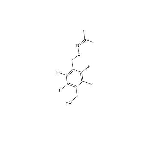 CC(C)=NOCc1c(F)c(F)c(CO)c(F)c1F